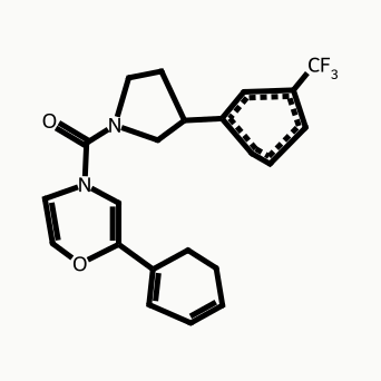 O=C(N1C=COC(C2=CC=CCC2)=C1)N1CCC(c2cccc(C(F)(F)F)c2)C1